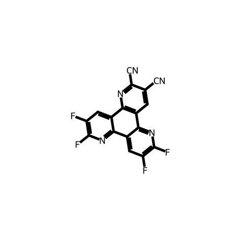 N#Cc1cc2c3nc(F)c(F)cc3c3nc(F)c(F)cc3c2nc1C#N